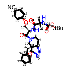 CN1N=C2CCN(C(=O)[C@@H](COc3ccc(C#N)cc3)NC(=O)C(C)(C)NC(=O)OC(C)(C)C)C[C@@]2(Cc2ccccc2)C1=O